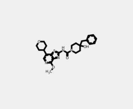 COc1ncc(C2CCOCC2)c2sc(NC(=O)N3CCC(O)(Cc4ccccc4)CC3)nc12